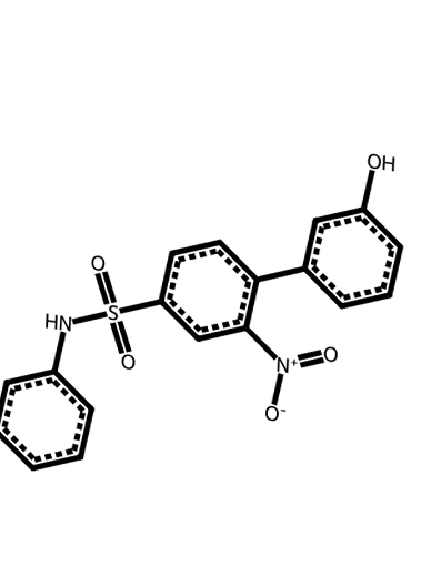 O=[N+]([O-])c1cc(S(=O)(=O)Nc2ccccc2)ccc1-c1cccc(O)c1